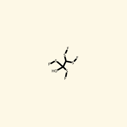 OC(SF)(SF)C(SF)SF